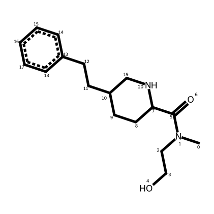 CN(CCO)C(=O)C1CCC(CCc2ccccc2)CN1